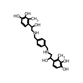 Cc1c(C(O)CNCc2ccc(CNCC(O)c3ccc(O)c(O)c3C)cc2)ccc(O)c1O